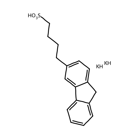 O=S(=O)(O)CCCCc1ccc2c(c1)-c1ccccc1C2.[KH].[KH]